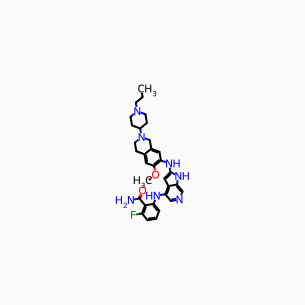 CCCN1CCC(N2CCc3cc(OC)c(Nc4cc5c(Nc6cccc(F)c6C(N)=O)cncc5[nH]4)cc3C2)CC1